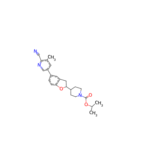 Cc1cc(-c2ccc3c(c2)CC(C2CCN(C(=O)OC(C)C)CC2)O3)cnc1C#N